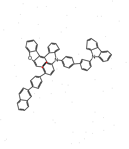 c1cc(-c2ccc(N(c3ccc(-c4ccc(-c5ccc6ccccc6c5)cc4)cc3)c3ccccc3-c3cccc4oc5ccccc5c34)cc2)cc(-n2c3ccccc3c3ccccc32)c1